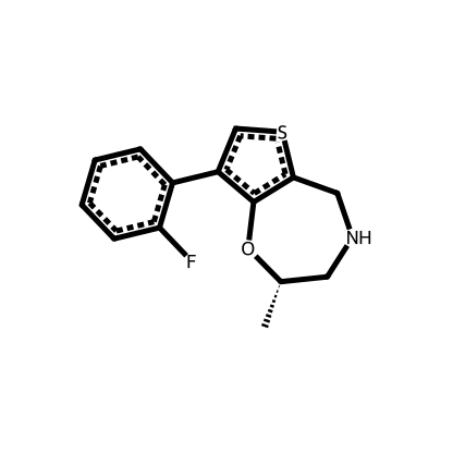 C[C@H]1CNCc2scc(-c3ccccc3F)c2O1